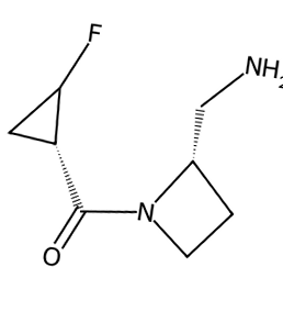 NC[C@@H]1CCN1C(=O)[C@@H]1CC1F